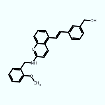 COc1ccccc1CNc1ccc2c(C=Cc3cccc(CO)c3)cccc2n1